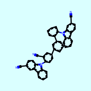 N#Cc1ccc2c(c1)c1ccccc1n2-c1ccc(-c2cccc(-c3ccccc3-n3c4ccccc4c4ccc(C#N)cc43)c2)cc1C#N